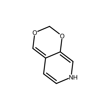 C1=CC2=COCOC2=CN1